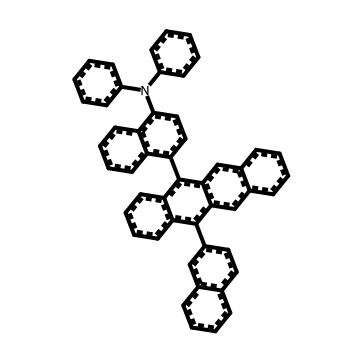 c1ccc(N(c2ccccc2)c2ccc(-c3c4ccccc4c(-c4ccc5ccccc5c4)c4cc5ccccc5cc34)c3ccccc23)cc1